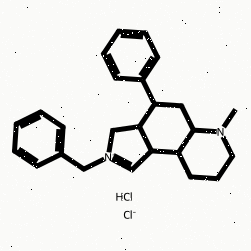 CN1CCCC2C3C=[N+](Cc4ccccc4)CC3C(c3ccccc3)CC21.Cl.[Cl-]